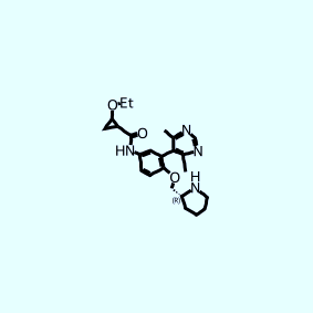 CCOC1CC1C(=O)Nc1ccc(OC[C@H]2CCCCN2)c(-c2c(C)ncnc2C)c1